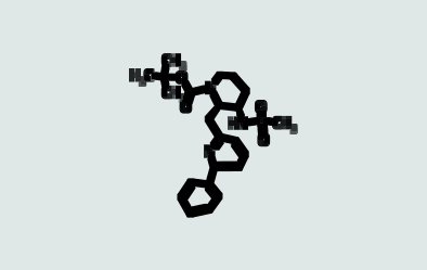 CC(C)(C)OC(=O)N1CCC[C@@H](NS(C)(=O)=O)[C@H]1Cc1cccc(-c2ccccc2)n1